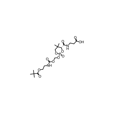 CC(C)(C)C(=O)OCCNC(=O)OCOP1(=O)OCC(C)(C)[C@H](C(=O)NCCC(=O)O)O1